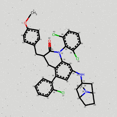 COc1ccc(CC2Cc3c(-c4ccccc4Cl)cc(NC4CC5CCC(C4)N5C)cc3N(c3c(Cl)cccc3Cl)C2=O)cc1